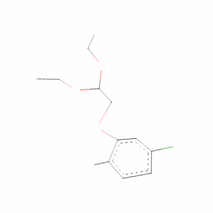 CCOC(COc1cc(F)ccc1C)OCC